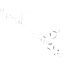 NS(=O)(=O)c1ccc(-n2nc(COCCCCCN(CCS)CCNCCS)cc2-c2ccc(F)cc2)cc1